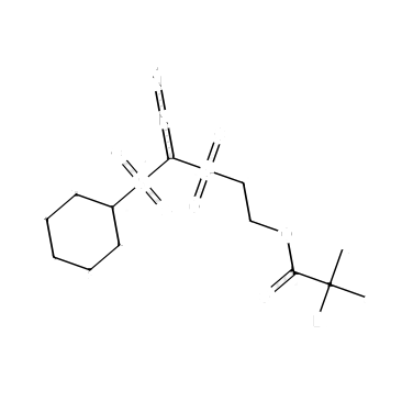 CCC(C)(C)C(=O)OCCS(=O)(=O)C(=[N+]=[N-])S(=O)(=O)C1CCCCC1